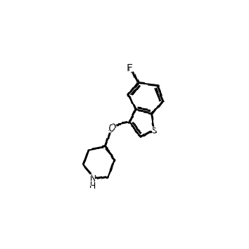 Fc1ccc2scc(OC3CCNCC3)c2c1